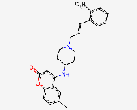 Cc1ccc2oc(=O)cc(NC3CCN(CC=Cc4ccccc4[N+](=O)[O-])CC3)c2c1